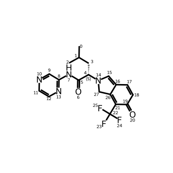 CC(C)C[C@@H](C(=O)Nc1cnccn1)N1C=C2C=CC(=O)C(C(F)(F)F)=C2C1